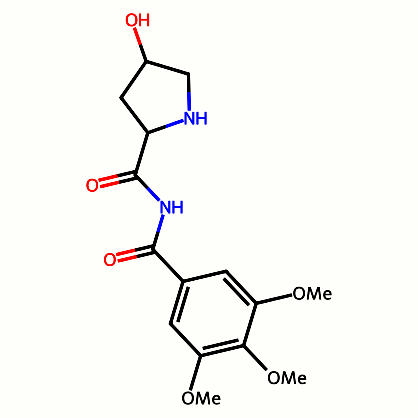 COc1cc(C(=O)NC(=O)C2CC(O)CN2)cc(OC)c1OC